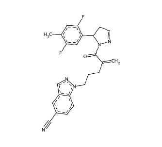 C=C(CCCn1ncc2cc(C#N)ccc21)C(=O)N1N=CCC1c1cc(F)c(C)cc1F